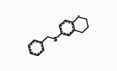 [CH]1CCCc2cc(SCc3ccccc3)ccc21